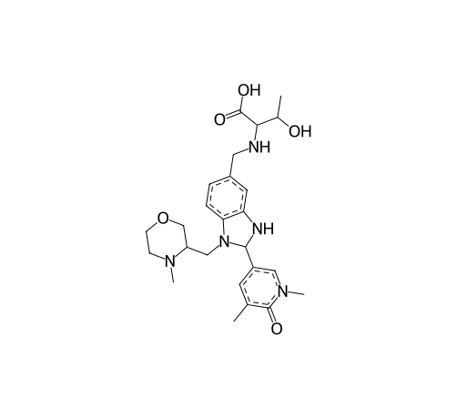 Cc1cc(C2Nc3cc(CNC(C(=O)O)C(C)O)ccc3N2CC2COCCN2C)cn(C)c1=O